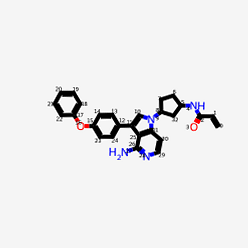 C=CC(=O)NC1CCC(n2cc(-c3ccc(Oc4ccccc4)cc3)c3c(N)nccc32)C1